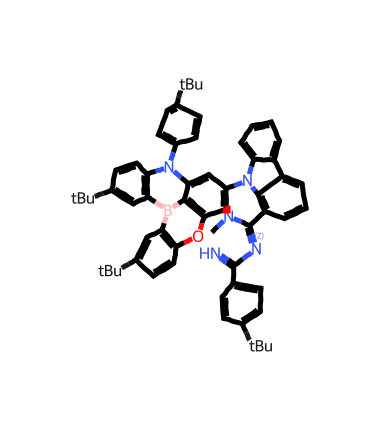 CN(C)/C(=N\C(=N)c1ccc(C(C)(C)C)cc1)c1cccc2c3ccccc3n(-c3cc4c5c(c3)N(c3ccc(C(C)(C)C)cc3)c3ccc(C(C)(C)C)cc3B5c3cc(C(C)(C)C)ccc3O4)c12